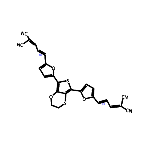 N#CC(C#N)=C/C=C/c1ccc(-c2sc(-c3ccc(/C=C/C=C(C#N)C#N)o3)c3c2OCCS3)o1